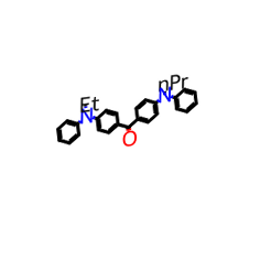 CCCN(c1ccccc1)c1ccc(C(=O)c2ccc(N(CC)c3ccccc3)cc2)cc1